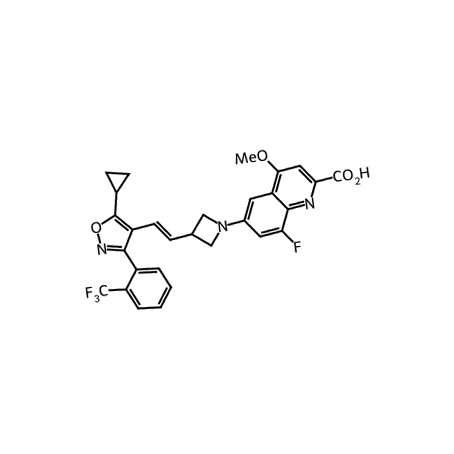 COc1cc(C(=O)O)nc2c(F)cc(N3CC(C=Cc4c(-c5ccccc5C(F)(F)F)noc4C4CC4)C3)cc12